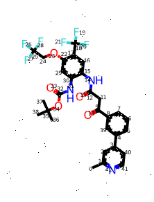 Cc1cc(-c2cccc(C(=O)CC(=O)Nc3cc(C(F)(F)F)c(OCC(F)(F)F)cc3NC(=O)OC(C)(C)C)c2)ccn1